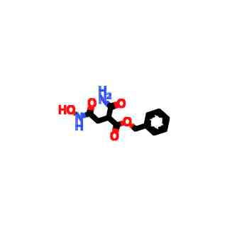 NC(=O)C(CC(=O)NO)C(=O)OCc1ccccc1